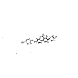 CCC1CCC(CCc2ccc(-c3ccc(-c4ccc(C)cc4)c(F)c3C(F)F)cc2)CC1